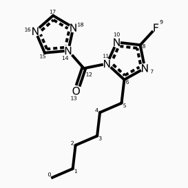 CCCCCCc1nc(F)nn1C(=O)n1cncn1